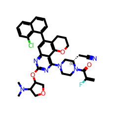 C=C(F)C(=O)N1CCN(c2nc(OC3COCC3N(C)C)nc3cc(-c4cccc5cccc(Cl)c45)c4c(c23)OCCC4)C[C@@H]1CC#N